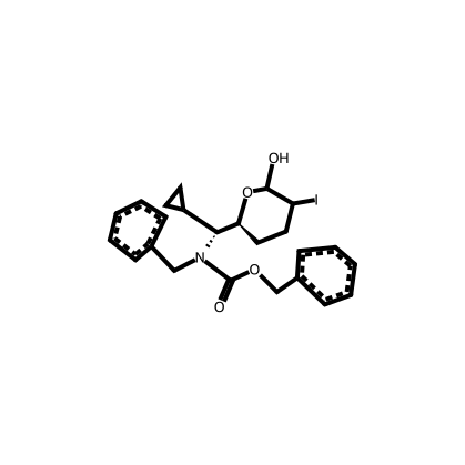 O=C(OCc1ccccc1)N(Cc1ccccc1)[C@H](C1CC1)[C@@H]1CCC(I)C(O)O1